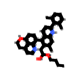 CCCCOC(O)Cc1c(C)cc2nc(-c3c(C)cccc3C)ccc2c1-c1ccc2c3c(ccnc13)CCO2